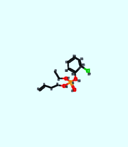 C=CCCOP(=O)(OCC)Oc1ccccc1Cl